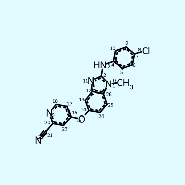 Cn1c(Nc2ccc(Cl)cc2)nc2cc(Oc3ccnc(C#N)c3)ccc21